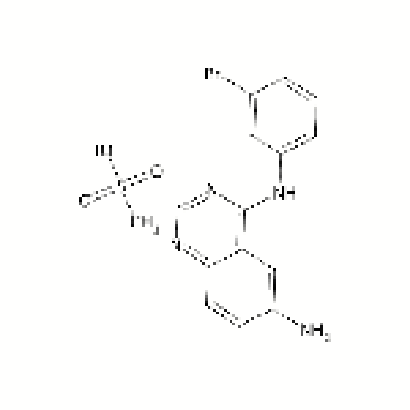 CS(=O)(=O)O.Nc1ccc2ncnc(Nc3cccc(Br)c3)c2c1